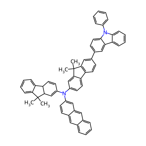 CC1(C)c2cc(-c3ccc4c(c3)c3ccccc3n4-c3ccccc3)ccc2-c2ccc(N(C3=CC4C(C=C3)c3ccccc3C4(C)C)c3ccc4cc5ccccc5cc4c3)cc21